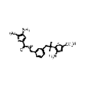 CC(C)(C)c1sc(C(=O)NCc2cccc(CC(C)(C)c3sc(C(=O)O)cc3N)c2)cc1N